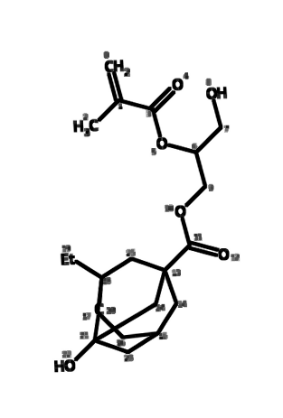 C=C(C)C(=O)OC(CO)COC(=O)C12CC3CCC(CC)(CC(O)(C3)C1)C2